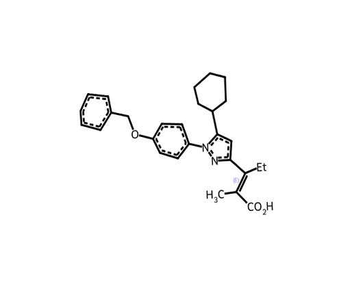 CC/C(=C(/C)C(=O)O)c1cc(C2CCCCC2)n(-c2ccc(OCc3ccccc3)cc2)n1